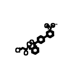 CN(C(=O)CCl)c1ccccc1C(=O)c1ccc(-c2cccc([N+](=O)[O-])c2)cc1